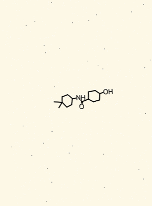 CC1(C)CCC(NC(=O)C2CCC(O)CC2)CC1